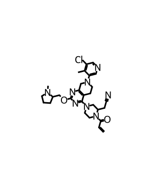 C=CC(=O)N1CCN(c2nc(OCC3CCCN3C)nc3c2CCN(c2cncc(Cl)c2C)C3)CC1CC#N